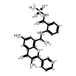 Cc1cc(C(C)Nc2ccccc2C(=O)NS(C)(=O)=O)c2oc(-c3cccnc3)c(C)c(=O)c2c1